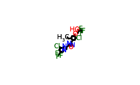 CCc1cc(OCC(O)C(F)(F)F)c(Cl)cc1-c1noc(-c2cn3cc(C(F)(F)F)cc(Cl)c3n2)n1